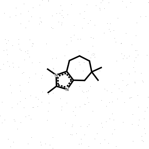 Cc1nc2c(n1C)CCCC(C)(C)C2